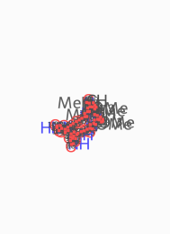 CNC(=O)N1N=C(c2ccc(N3CCN(C(=O)COCCOCC(=O)Nc4cccc5c4C(=O)N(C4CCC(=O)NC4=O)C5=O)CC3)cc2)c2cc(OC)c(OC)cc2C[C@@H]1C.CNC(=O)N1N=C(c2ccc(N3CCN(C(=O)COCCOCCOCC(=O)Nc4cccc5c4C(=O)N(C4CCC(=O)NC4=O)C5=O)CC3)cc2)c2cc(OC)c(OC)cc2C[C@@H]1C